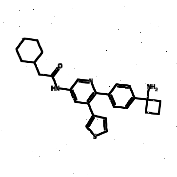 NC1(c2ccc(-c3ncc(NC(=O)CC4CC[CH]CC4)cc3-c3ccsc3)cc2)CCC1